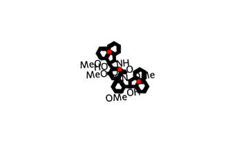 COc1ccccc1C(O)(c1ccccc1OC)[C@H](NC(=O)C(=O)N[C@H](c1ccccc1)C(O)(c1ccccc1OC)c1ccccc1OC)c1ccccc1